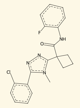 Cn1c(-c2ccccc2Cl)nnc1C1(C(=O)Nc2ccccc2F)CCC1